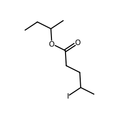 CCC(C)OC(=O)CCC(C)I